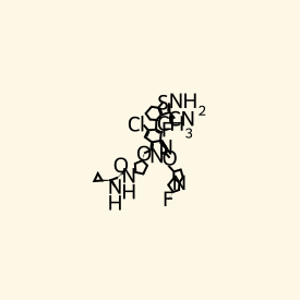 C[C@]1(c2c(Cl)cc3c(O[C@@H]4CC[C@H](NC(=O)[C@@H]5N[C@H]5C5CC5)C4)nc(OCC4CCN5C[C@H](F)CC45)nc3c2F)CCCc2sc(N)c(C#N)c21